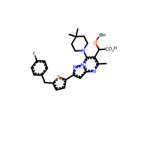 Cc1nc2cc(-c3ccc(Cc4ccc(F)cc4)s3)nn2c(N2CCC(C)(C)CC2)c1C(OC(C)(C)C)C(=O)O